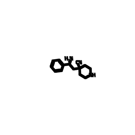 N#CC1(CC(N)c2ccccc2)CCNCC1